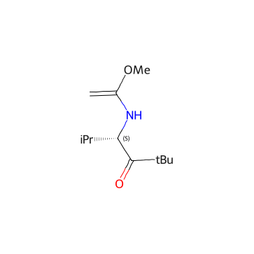 C=C(N[C@H](C(=O)C(C)(C)C)C(C)C)OC